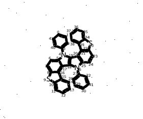 c1ccc(-n2c3ccc4sc5ccccc5c4c3c3c2c2c4c(ccc2n3-c2ccccc2)sc2ccccc24)cc1